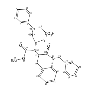 CC(N[C@@H](CC(=O)O)c1ccccc1)N(C(=O)OC(C)(C)C)C(Cc1ccccc1)C(=O)N(C)Cc1ccccc1